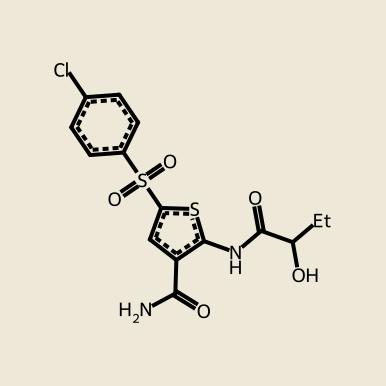 CCC(O)C(=O)Nc1sc(S(=O)(=O)c2ccc(Cl)cc2)cc1C(N)=O